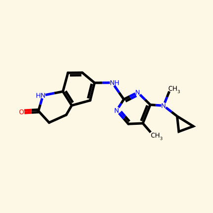 Cc1cnc(Nc2ccc3c(c2)CCC(=O)N3)nc1N(C)C1CC1